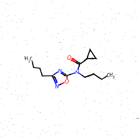 CCCCc1noc(N(CCCC)C(=O)C2CC2)n1